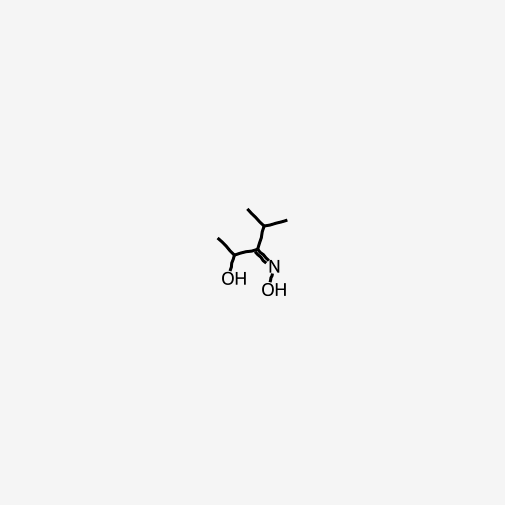 CC(C)/C(=N/O)C(C)O